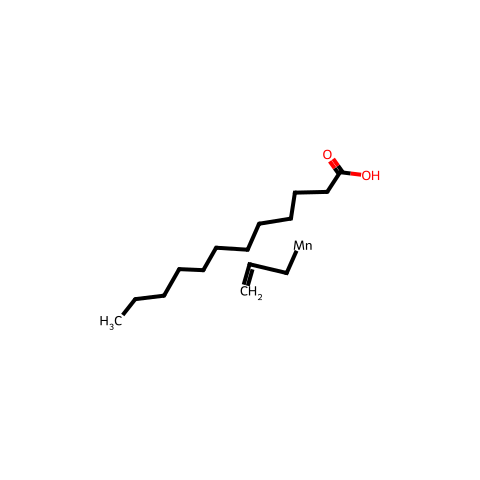 C=C[CH2][Mn].CCCCCCCCCCCC(=O)O